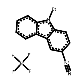 CCn1c2ccccc2c2cc([N+]#N)ccc21.F[B-](F)(F)F